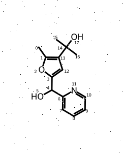 Cc1oc(C(O)c2ccccn2)cc1C(C)(C)O